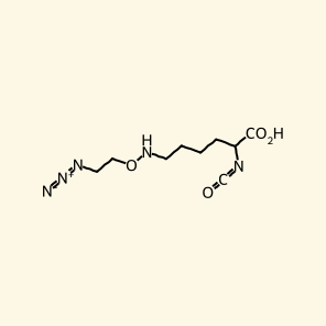 [N-]=[N+]=NCCONCCCCC(N=C=O)C(=O)O